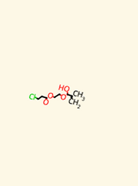 C=C(C)C(O)OCCOC(=O)CCCl